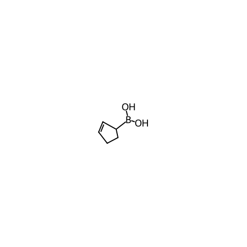 OB(O)C1C=CCC1